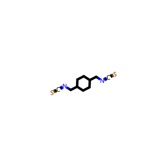 S=C=NCC1CCC(CN=C=S)CC1